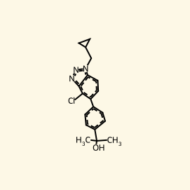 CC(C)(O)c1ccc(-c2ccc3c(nnn3CC3CC3)c2Cl)cc1